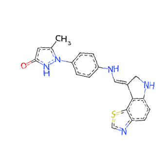 Cc1cc(=O)[nH]n1-c1ccc(NC=C2CNc3ccc4ncsc4c32)cc1